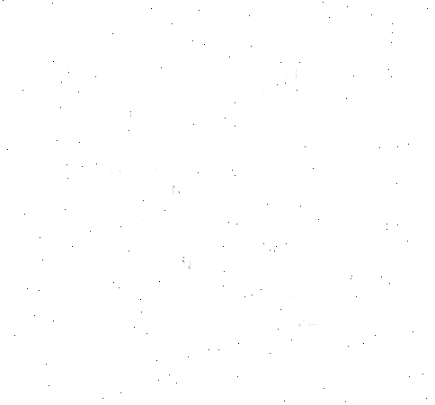 COc1ccc2c(cc(C(=O)NC3(c4ccc(CC(=O)O)cc4Cl)COC3)n2C)c1Cl